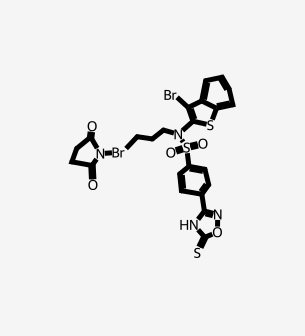 CCCCN(c1sc2ccccc2c1Br)S(=O)(=O)c1ccc(-c2noc(=S)[nH]2)cc1.O=C1CCC(=O)N1Br